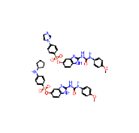 COc1ccc(NC(=O)Nc2nc3cc(OS(=O)(=O)c4ccc(-n5ccnc5)cc4)ccc3[nH]2)cc1.COc1ccc(NC(=O)Nc2nc3cc(OS(=O)(=O)c4ccc(NC5CCCC5)cc4)ccc3[nH]2)cc1